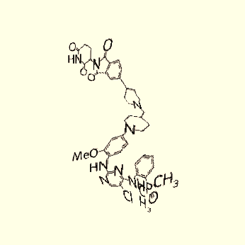 COc1cc(N2CCC(CN3CCC(c4ccc5c(c4)C(=O)N(C4CCC(=O)NC4=O)C5=O)CC3)CC2)ccc1Nc1ncc(Cl)c(Nc2ccccc2P(C)(C)=O)n1